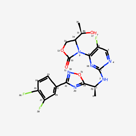 C[C@H](Nc1ncc(F)c(N2C(=O)OCC2[C@@H](C)O)n1)c1nc(-c2ccc(F)c(F)c2)no1